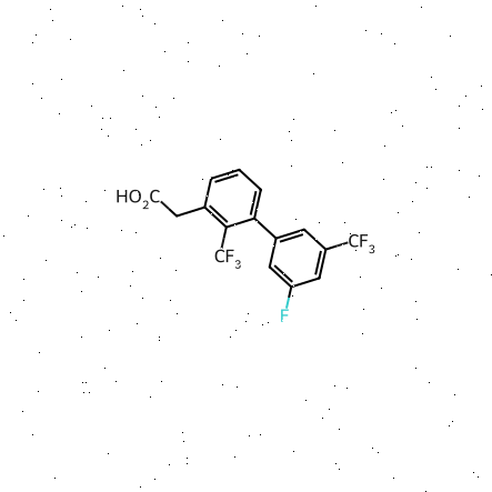 O=C(O)Cc1cccc(-c2cc(F)cc(C(F)(F)F)c2)c1C(F)(F)F